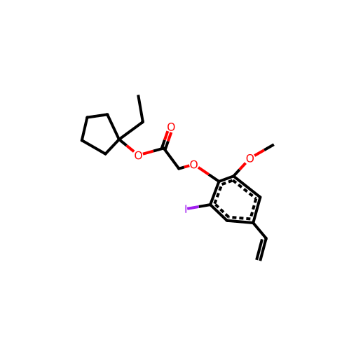 C=Cc1cc(I)c(OCC(=O)OC2(CC)CCCC2)c(OC)c1